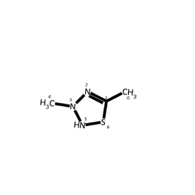 CC1=NN(C)NS1